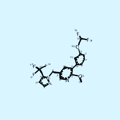 COc1ncc(Cn2nccc2C(F)(F)F)cc1-c1cccc(OC(F)F)c1